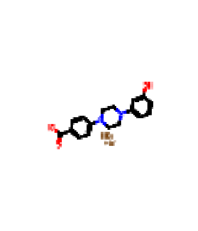 Br.Br.O=C(O)c1ccc(N2CCN(c3cccc(O)c3)CC2)cc1